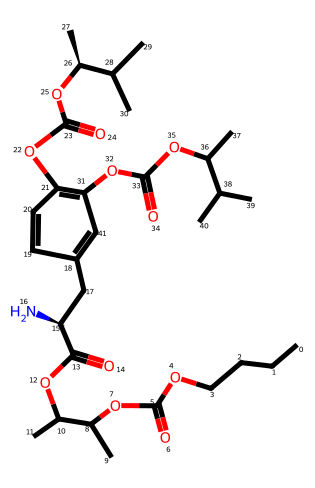 CCCCOC(=O)OC(C)C(C)OC(=O)[C@@H](N)Cc1ccc(OC(=O)O[C@@H](C)C(C)C)c(OC(=O)OC(C)C(C)C)c1